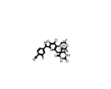 C[C@@H]1CN2c3c(nc4c(-c5ccc(C#N)c(F)c5)noc4c3Cl)CC3(C(=O)NC(=O)NC3=O)[C@H]2[C@H](C)O1